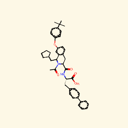 CC(=O)N1C(C(=O)N[C@@H](Cc2ccc(-c3ccccc3)cc2)C(=O)O)Cc2ccc(Oc3ccc(C(C)(C)C)cc3)cc2C1CC1CCCC1